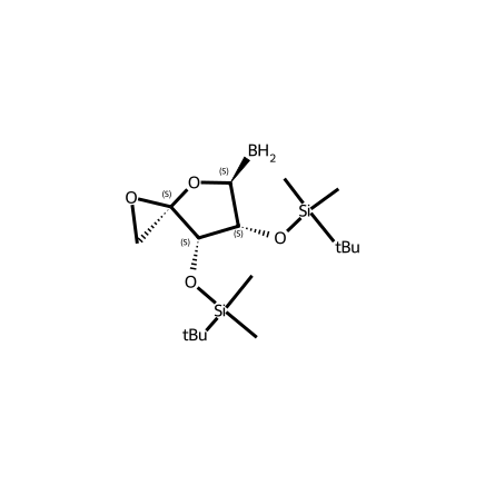 B[C@@H]1O[C@@]2(CO2)[C@@H](O[Si](C)(C)C(C)(C)C)[C@H]1O[Si](C)(C)C(C)(C)C